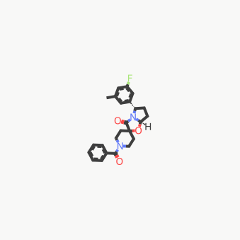 Cc1cc(F)cc([C@@H]2CC[C@H]3OC4(CCN(C(=O)c5ccccc5)CC4)C(=O)N32)c1